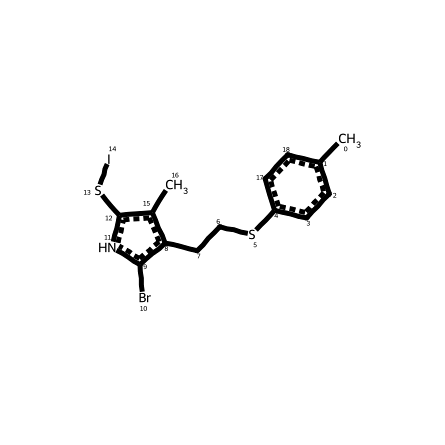 Cc1ccc(SCCc2c(Br)[nH]c(SI)c2C)cc1